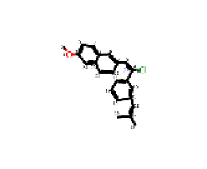 COc1ccc2cc(/C=C(/Cl)c3cccc(C=C(C)C)c3)ccc2c1